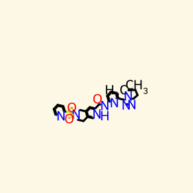 CC1(C)CCc2nnc(-c3cccc(NC(=O)c4cc5c(cn4)CCN(S(=O)(=O)c4ccccn4)C5)n3)n21